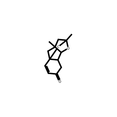 CC12CC3(C)CC4(C=CC(=O)CC4C3O1)C2